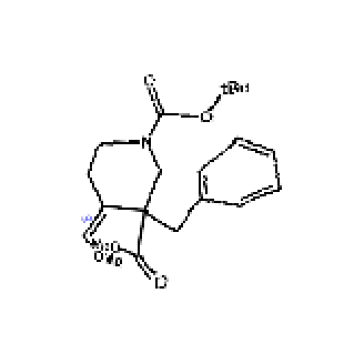 CO/C=C1/CCN(C(=O)OC(C)(C)C)CC1(Cc1ccccc1)C(=O)OC